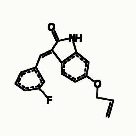 C=CCOc1ccc2c(c1)NC(=O)/C2=C/c1cccc(F)c1